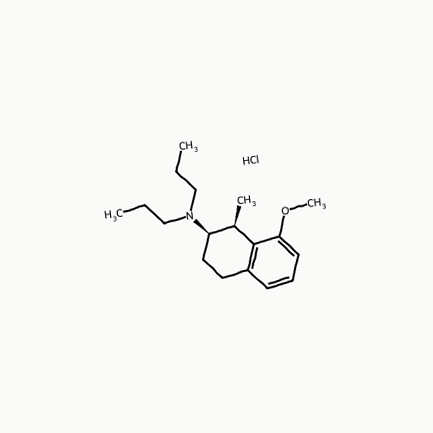 CCCN(CCC)[C@@H]1CCc2cccc(OC)c2[C@@H]1C.Cl